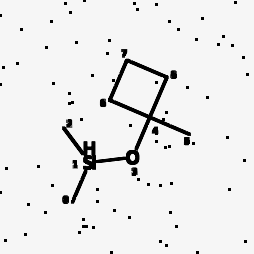 C[SiH](C)OC1(C)CCC1